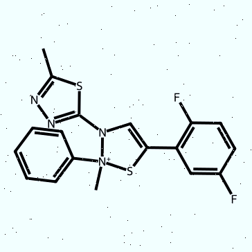 Cc1nnc(N2C=C(c3cc(F)ccc3F)S[N+]2(C)c2ccccc2)s1